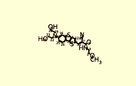 COCCNC(=O)/C(C#N)=C/c1cc2sc3cc(N(CCO)CCO)ccc3c2s1